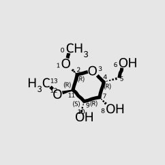 CO[C@@H]1O[C@H](CO)[C@H](O)[C@H](O)[C@H]1OC